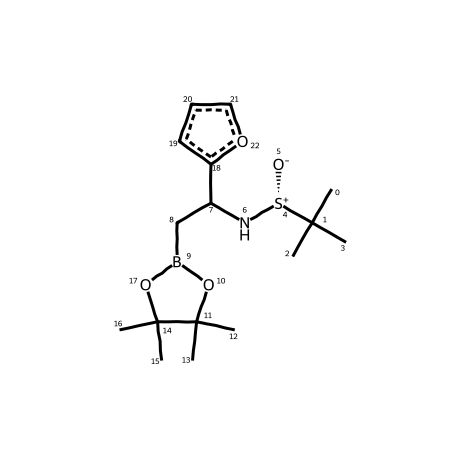 CC(C)(C)[S@@+]([O-])NC(CB1OC(C)(C)C(C)(C)O1)c1ccco1